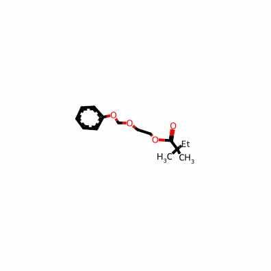 CCC(C)(C)C(=O)OCCOCOc1ccccc1